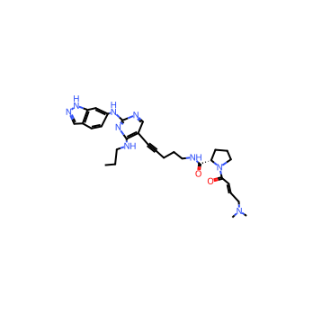 CCCNc1nc(Nc2ccc3cn[nH]c3c2)ncc1C#CCCCNC(=O)[C@@H]1CCCN1C(=O)/C=C/CN(C)C